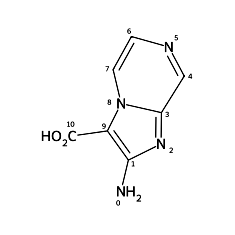 Nc1nc2cnccn2c1C(=O)O